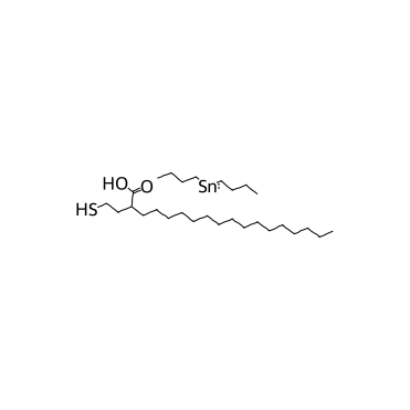 CCCCCCCCCCCCCCCCC(CCS)C(=O)O.CCC[CH2][Sn][CH2]CCC